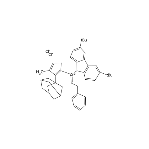 CC1=CC[C](/[Zr+2](=[CH]/Cc2ccccc2)[CH]2c3ccc(C(C)(C)C)cc3-c3cc(C(C)(C)C)ccc32)=C1C12CC3CC(CC(C3)C1)C2.[Cl-].[Cl-]